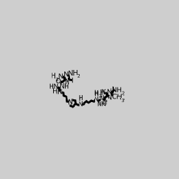 Cc1nc(C(=O)NC(=N)NCCCCCNCC2CCN(CCCCNC(=N)NC(=O)c3nc(I)c(N)nc3N)CC2)c(N)nc1N